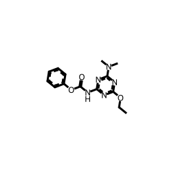 CCOc1nc(NC(=O)Oc2ccccc2)nc(N(C)C)n1